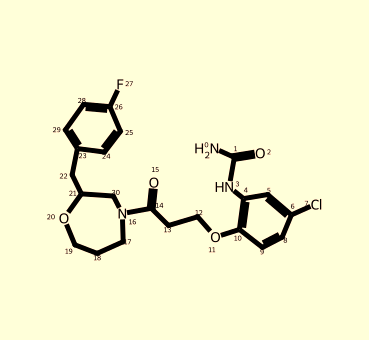 NC(=O)Nc1cc(Cl)ccc1OCCC(=O)N1CCCOC(Cc2ccc(F)cc2)C1